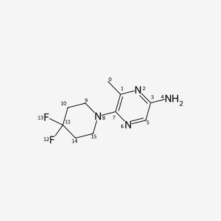 Cc1nc(N)cnc1N1CCC(F)(F)CC1